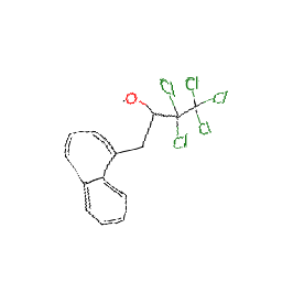 [O]C(Cc1cccc2ccccc12)C(Cl)(Cl)C(Cl)(Cl)Cl